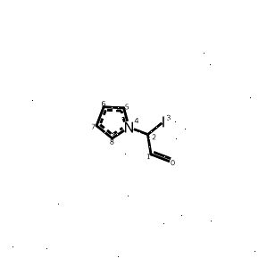 C=CC(I)n1cccc1